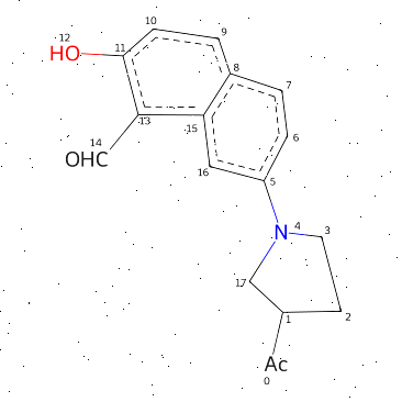 CC(=O)C1CCN(c2ccc3ccc(O)c(C=O)c3c2)C1